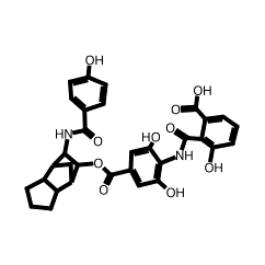 O=C(NC1C2CC(C3CCCC32)C1OC(=O)c1cc(O)c(NC(=O)c2c(O)cccc2C(=O)O)c(O)c1)c1ccc(O)cc1